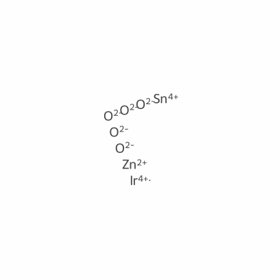 [Ir+4].[O-2].[O-2].[O-2].[O-2].[O-2].[Sn+4].[Zn+2]